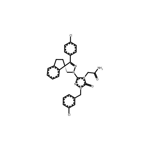 NC(=O)Cn1c(N2C[C@]3(CCc4ccccc43)C(c3ccc(Cl)cc3)=N2)nn(Cc2cccc(Cl)c2)c1=O